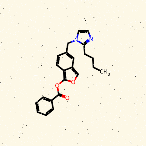 CCCCc1nccn1Cc1ccc2c(OC(=O)c3ccccc3)occ2c1